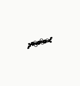 CCCCC(CC)COc1ccc(OC(=O)c2ccc(C(=O)Oc3ccc(C(CC)CCCC)cc3)cc2)cc1